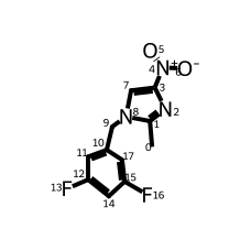 Cc1nc([N+](=O)[O-])cn1Cc1cc(F)cc(F)c1